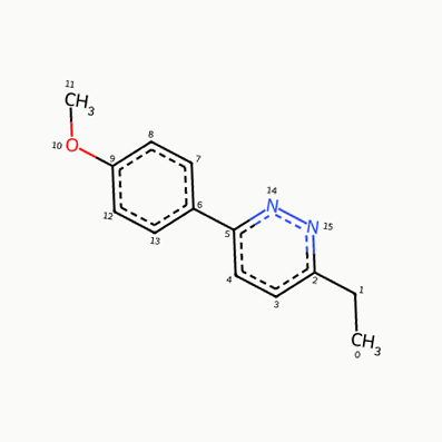 CCc1ccc(-c2ccc(OC)cc2)nn1